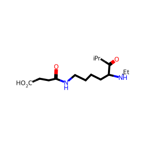 CCNC(CCCCNC(=O)CCC(=O)O)C(=O)C(C)C